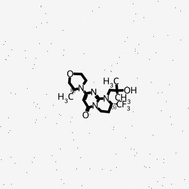 C[C@@H]1COCCN1c1cc(=O)n2c(n1)N(CC(C)(C)O)[C@H](C(F)(F)F)CC2